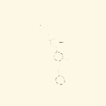 CC(C)(C)[Si](C)(C)OC[C@H]1CN(c2ccc(OCc3ccccc3)c(F)c2)C(=O)O1